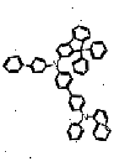 C1=CC(N(c2ccc(-c3ccc(N(c4ccccc4)c4cccc5ccccc45)cc3)cc2)c2ccc3c(c2)C(c2ccccc2)(c2ccccc2)c2ccccc2-3)CC=C1c1ccccc1